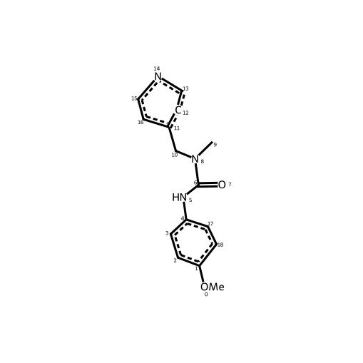 COc1ccc(NC(=O)N(C)Cc2ccncc2)cc1